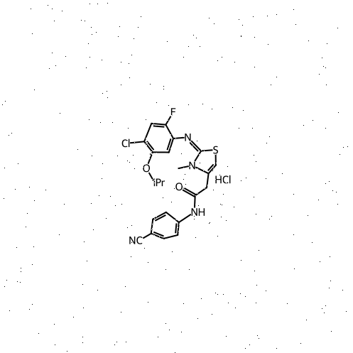 CC(C)Oc1cc(N=c2scc(CC(=O)Nc3ccc(C#N)cc3)n2C)c(F)cc1Cl.Cl